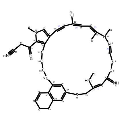 CN/C1=C\C(=N)CS/C=N/N(C)/C(C)=C/C=C(Cl)/C=C\c2cn(C)c(C(=O)CC#N)c2CCCCc2cc(cc3c2C=CCC3)SC1